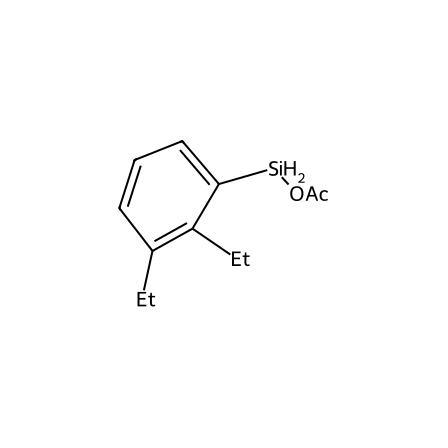 CCc1cccc([SiH2]OC(C)=O)c1CC